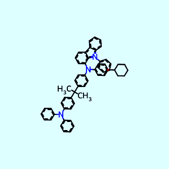 CC(C)(c1ccc(N(c2ccccc2)c2ccccc2)cc1)c1ccc(N(c2ccc(C3CCCCC3)cc2)c2cccc3c4ccccc4n(-c4ccccc4)c23)cc1